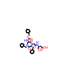 O=C[C@H](CC(=O)O)NC(=O)CN1C(=O)[C@@H](NC(=O)OCc2ccccc2)CN(Cc2ccccc2)C(=O)[C@@H]1Cc1ccccc1